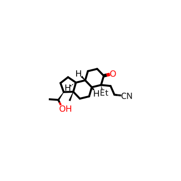 CC[C@@]1(CCC#N)C(=O)CC[C@@H]2[C@H]1CC[C@]1(C)[C@@H](C(C)O)CC[C@@H]21